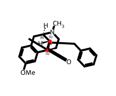 COc1ccc2c(c1)[C@]13CCN(C)[C@H](C2)[C@@H]1CN(Cc1ccccc1)C(=O)C3